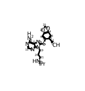 C#Cc1cc2c(cc1Sc1nc3c(N)ncnc3n1CCCNC(C)C)OCO2